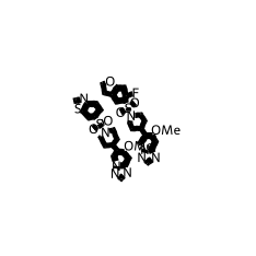 COc1cc2ncnn2cc1C1CCN(S(=O)(=O)c2cc3c(cc2F)OCC3)CC1.COc1cc2ncnn2cc1C1CCN(S(=O)(=O)c2ccc3ncsc3c2)CC1